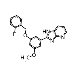 COc1cc(OCc2ccccc2F)cc(-c2nc3ncccc3[nH]2)c1